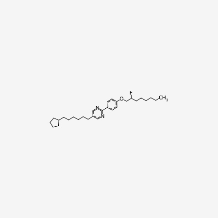 CCCCCCC(F)COc1ccc(-c2ncc(CCCCCCC3CCCC3)cn2)cc1